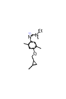 CCN(C)/C=N\c1cc(C)c(OCC2CC2C)cc1C